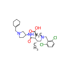 C[C@@H](CN(C)Cc1c(Cl)cccc1Cl)[C@H](CC(=O)O)C(=O)N[C@H]1CCN(CC2=CCCCC2)C1